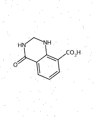 O=C(O)c1cccc2c1NCNC2=O